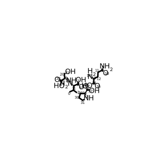 CC(C)[C@H](N)C(=O)O.NC(=O)CC[C@H](N)C(=O)O.N[C@@H](CO)C(=O)O.O=C(O)[C@@H]1CCCN1